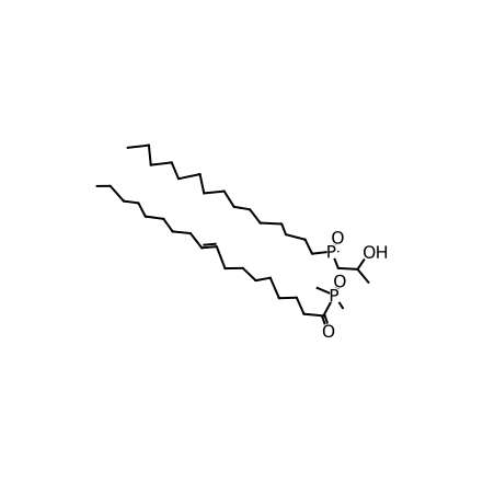 CCCCCCCCC=CCCCCCCCC(=O)P(C)(C)=O.CCCCCCCCCCCCCCC[P](=O)CC(C)O